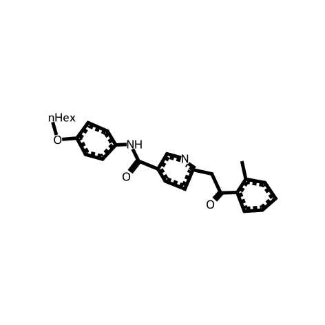 CCCCCCOc1ccc(NC(=O)c2ccc(CC(=O)c3ccccc3C)nc2)cc1